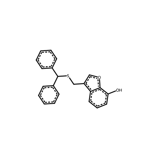 Oc1cccc2c(CSC(c3ccccc3)c3ccccc3)coc12